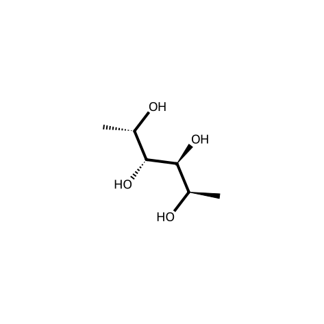 C[C@H](O)[C@@H](O)[C@@H](O)[C@@H](C)O